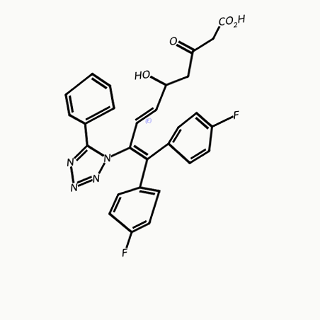 O=C(O)CC(=O)CC(O)/C=C/C(=C(c1ccc(F)cc1)c1ccc(F)cc1)n1nnnc1-c1ccccc1